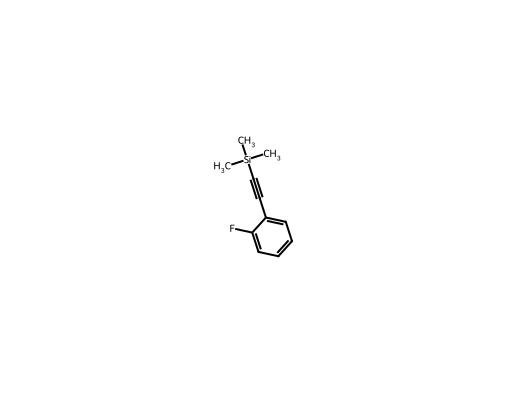 C[Si](C)(C)C#Cc1ccccc1F